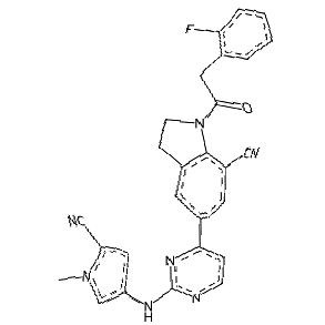 Cn1cc(Nc2nccc(-c3cc(C#N)c4c(c3)CCN4C(=O)Cc3ccccc3F)n2)cc1C#N